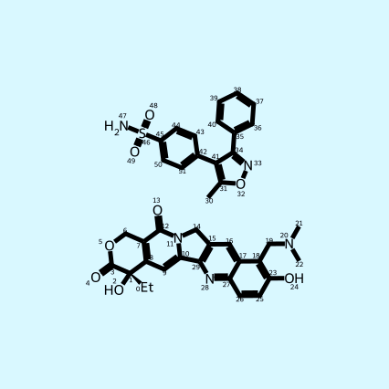 CC[C@@]1(O)C(=O)OCc2c1cc1n(c2=O)Cc2cc3c(CN(C)C)c(O)ccc3nc2-1.Cc1onc(-c2ccccc2)c1-c1ccc(S(N)(=O)=O)cc1